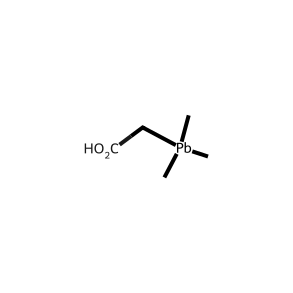 [CH3][Pb]([CH3])([CH3])[CH2]C(=O)O